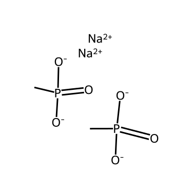 CP(=O)([O-])[O-].CP(=O)([O-])[O-].[Na+2].[Na+2]